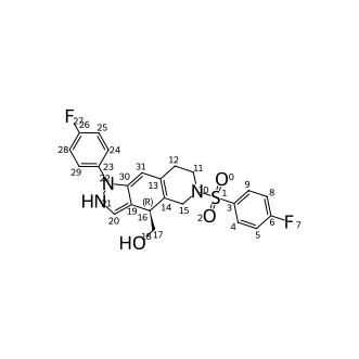 O=S(=O)(c1ccc(F)cc1)N1CCC2=C(C1)[C@@H](CO)C1=CNN(c3ccc(F)cc3)C1=C2